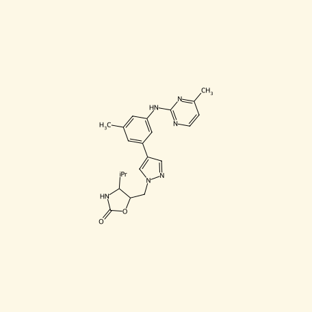 Cc1cc(Nc2nccc(C)n2)cc(-c2cnn(CC3OC(=O)NC3C(C)C)c2)c1